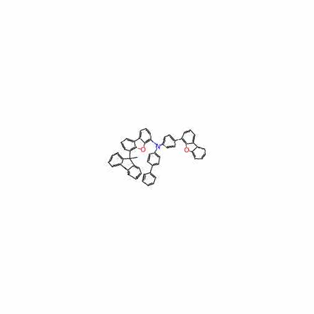 CC1(c2cccc3c2oc2c(N(c4ccc(-c5ccccc5)cc4)c4ccc(-c5cccc6c5oc5ccccc56)cc4)cccc23)c2ccccc2-c2ccccc21